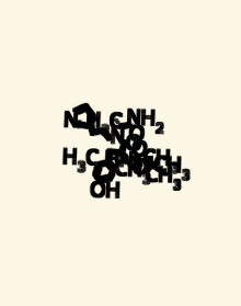 Cc1cc(O)cc(C)c1CC(NC(=O)OC(C)(C)C)C(=O)N(CCCc1cccnc1)[C@H](C)C(N)=O